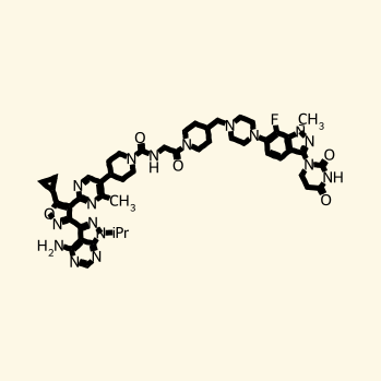 Cc1nc(-c2c(-c3nn(C(C)C)c4ncnc(N)c34)noc2C2CC2)ncc1C1CCN(C(=O)NCC(=O)N2CCC(CN3CCN(c4ccc5c(N6CCC(=O)NC6=O)nn(C)c5c4F)CC3)CC2)CC1